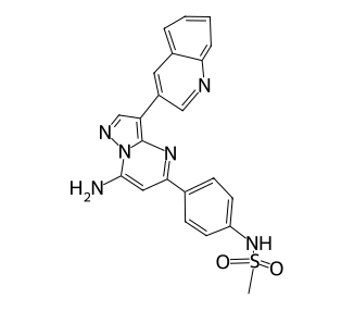 CS(=O)(=O)Nc1ccc(-c2cc(N)n3ncc(-c4cnc5ccccc5c4)c3n2)cc1